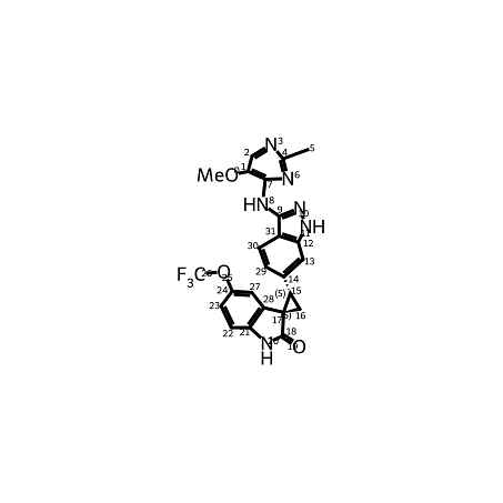 COc1cnc(C)nc1Nc1n[nH]c2cc([C@@H]3C[C@]34C(=O)Nc3ccc(OC(F)(F)F)cc34)ccc12